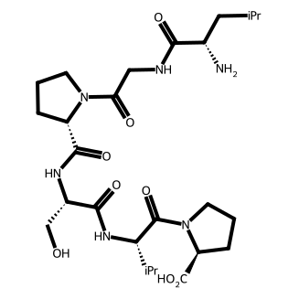 CC(C)C[C@H](N)C(=O)NCC(=O)N1CCC[C@H]1C(=O)N[C@@H](CO)C(=O)N[C@H](C(=O)N1CCC[C@H]1C(=O)O)C(C)C